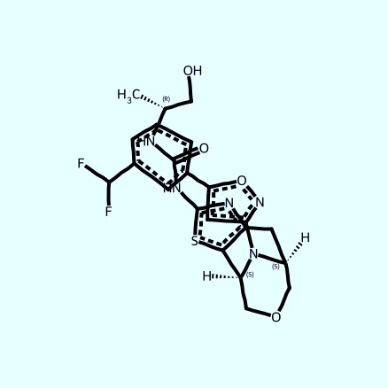 C[C@H](CO)NC(=O)Nc1nc2c(s1)[C@@H]1COC[C@H](C2)N1c1cc(-c2cccc(C(F)F)c2)on1